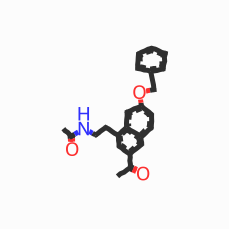 CC(=O)NCCc1cc(C(C)=O)cc2ccc(OCc3ccccc3)cc12